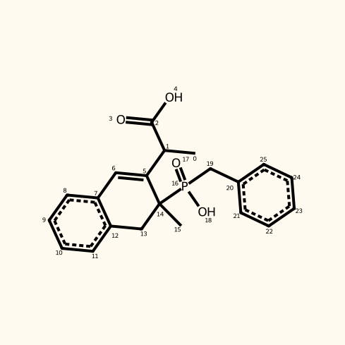 CC(C(=O)O)C1=Cc2ccccc2CC1(C)P(=O)(O)Cc1ccccc1